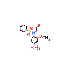 COc1cc([N+](=O)[O-])ccc1N(CCBr)S(=O)(=O)c1ccccc1